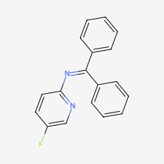 Fc1ccc(N=C(c2ccccc2)c2ccccc2)nc1